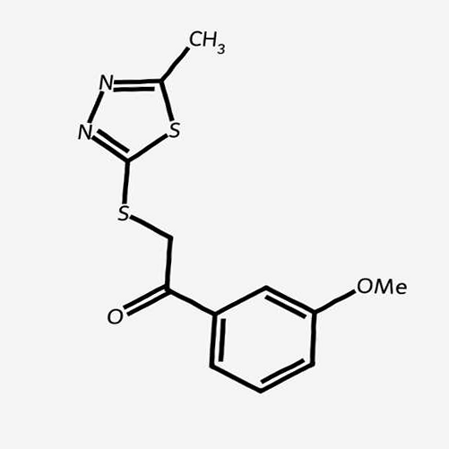 COc1cccc(C(=O)CSc2nnc(C)s2)c1